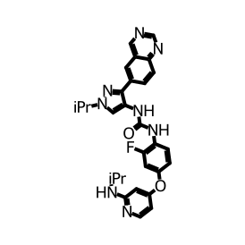 CC(C)Nc1cc(Oc2ccc(NC(=O)Nc3cn(C(C)C)nc3-c3ccc4ncncc4c3)c(F)c2)ccn1